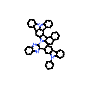 c1ccc(-n2c3ccccc3c3ccc(-c4nc5ccccc5nc4-n4c5ccc6ccccc6c5c5c6c7ccccc7n7c8ccccc8c(cc54)c67)cc32)cc1